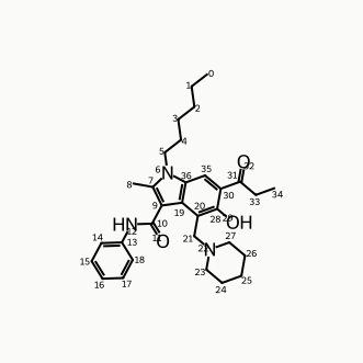 CCCCCCn1c(C)c(C(=O)Nc2ccccc2)c2c(CN3CCCCC3)c(O)c(C(=O)CC)cc21